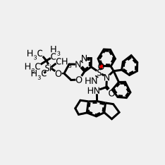 CC(C)(C)[Si](C)(C)O[C@@H]1COc2c(S(=N)(=O)N(C(=O)Nc3c4c(cc5c3CCC5)CCC4)C(c3ccccc3)(c3ccccc3)c3ccccc3)cnn2C1